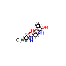 O=C(Nc1ccc(NC2=CC(O)c3ccccc3C2O)cc1)c1ccc([N+](=O)[O-])c(F)c1